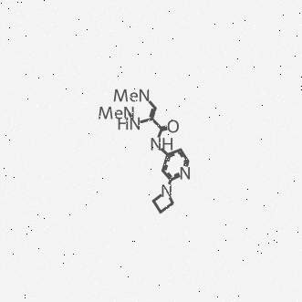 CN/C=C(\NNC)C(=O)Nc1ccnc(N2CCC2)c1